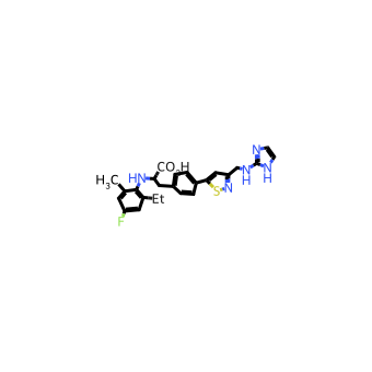 CCc1cc(F)cc(C)c1NC(Cc1ccc(-c2cc(CNc3ncc[nH]3)ns2)cc1)C(=O)O